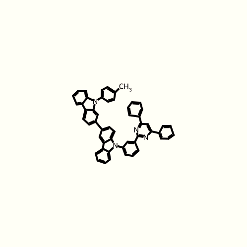 Cc1ccc(-n2c3ccccc3c3ccc(-c4ccc5c(c4)c4ccccc4n5-c4cccc(-c5nc(-c6ccccc6)cc(-c6ccccc6)n5)c4)cc32)cc1